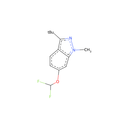 Cn1nc(C(C)(C)C)c2ccc(OC(F)F)cc21